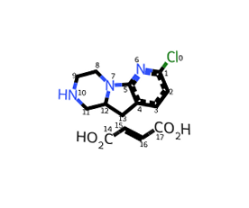 Clc1ccc2c(n1)N1CCNCC1C2.O=C(O)C=CC(=O)O